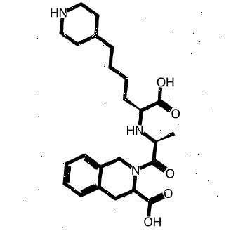 C[C@H](N[C@@H](CCCCC1CCNCC1)C(=O)O)C(=O)N1Cc2ccccc2CC1C(=O)O